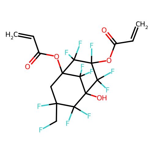 C=CC(=O)OC1(F)C(F)(F)C2(OC(=O)C=C)CC(F)(CF)C(F)(F)C(O)(C1(F)F)C2(F)F